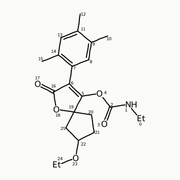 CCNC(=O)OC1=C(c2cc(C)c(C)cc2C)C(=O)OC12CCC(OCC)C2